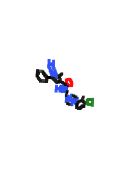 Cc1[nH]c(-c2ccccc2)cc1C(=O)NCCN1CCN(c2cccc(Cl)c2C)CC1